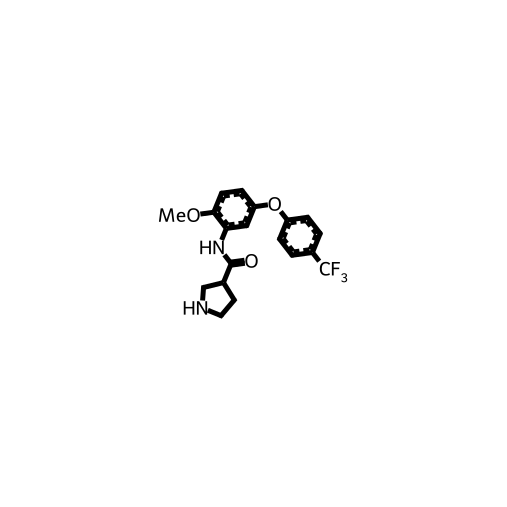 COc1ccc(Oc2ccc(C(F)(F)F)cc2)cc1NC(=O)C1CCNC1